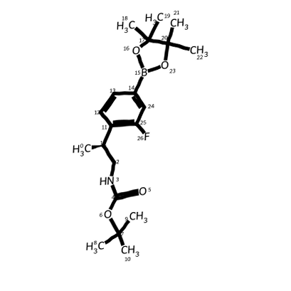 C[C@H](CNC(=O)OC(C)(C)C)c1ccc(B2OC(C)(C)C(C)(C)O2)cc1F